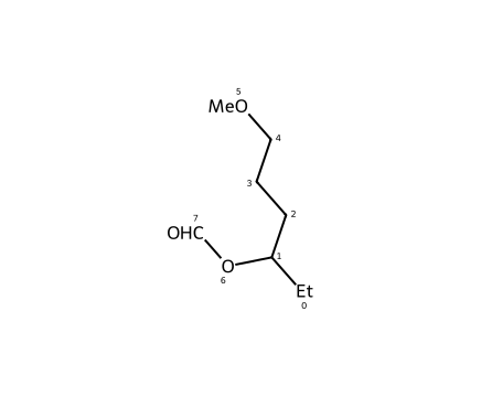 [CH2]CC(CCCOC)OC=O